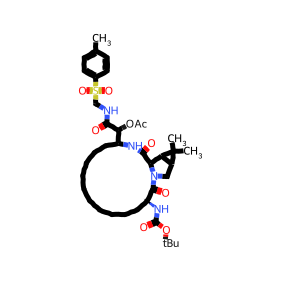 CC(=O)OC(C(=O)NCS(=O)(=O)c1ccc(C)cc1)C1CCCCCCCCCC[C@H](NC(=O)OC(C)(C)C)C(=O)N2CC3C(C2C(=O)N1)C3(C)C